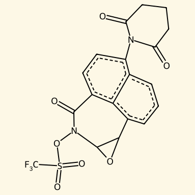 O=C1CCCC(=O)N1c1ccc2c3c(cccc13)C1OC1N(OS(=O)(=O)C(F)(F)F)C2=O